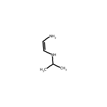 CC(C)N/C=C\N